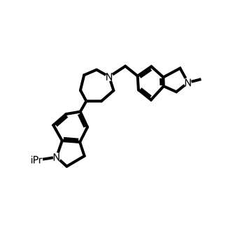 CC(C)N1CCc2cc(C3CCCN(Cc4ccc5c(c4)CN(C)C5)CC3)ccc21